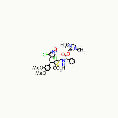 COc1ccc([C@H](Cc2c(Cl)c[n+]([O-])cc2Cl)c2cc(CNC(C(=O)OC[C@@H]3CN(C)CCN3C)c3ccccc3)sc2C(=O)O)cc1OC